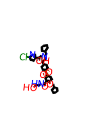 O=C(NCCO)c1cc(S(=O)(=O)c2ccc(CCN(Cc3ccccc3)C[C@@H](O)c3ccc(Cl)nc3)cc2)ccc1OCc1ccccc1